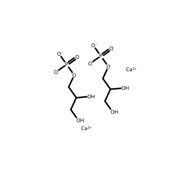 O=P([O-])([O-])OCC(O)CO.O=P([O-])([O-])OCC(O)CO.[Ca+2].[Ca+2]